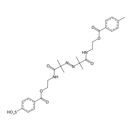 Cc1ccc(C(=O)OCCNC(=O)C(C)(C)N=NC(C)(C)C(=O)NCCOC(=O)c2ccc(S(=O)(=O)O)cc2)cc1